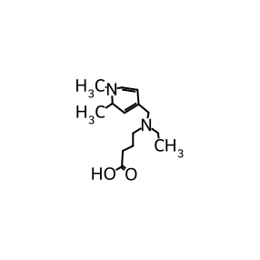 CCN(CCCC(=O)O)CC1=CC(C)N(C)C=C1